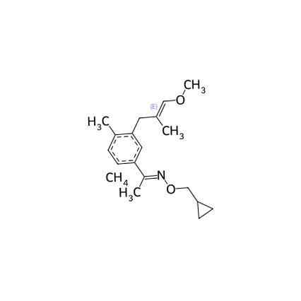 C.CO/C=C(\C)Cc1cc(C(C)=NOCC2CC2)ccc1C